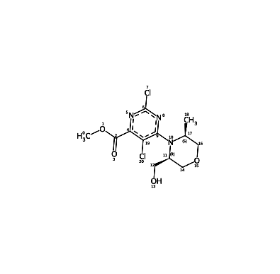 COC(=O)c1nc(Cl)nc(N2[C@H](CO)COC[C@@H]2C)c1Cl